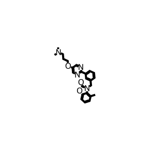 Cc1cccc2oc(=O)n(Cc3cccc(-c4ncc(OCCCN(C)C)cn4)c3)c12